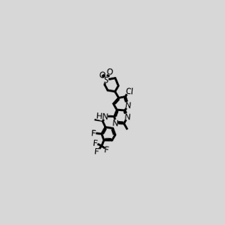 Cc1nc(N[C@H](C)c2cccc(C(F)(F)F)c2F)c2cc(C3CCS(=O)(=O)CC3)c(Cl)nc2n1